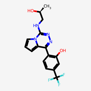 C[C@H](O)CNc1nnc(-c2ccc(C(F)(F)F)cc2O)c2cccn12